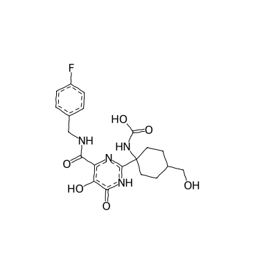 O=C(O)NC1(c2nc(C(=O)NCc3ccc(F)cc3)c(O)c(=O)[nH]2)CCC(CO)CC1